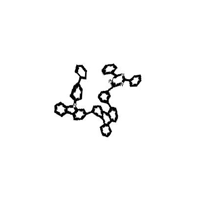 C1=CCC(c2ccc(-n3c4ccccc4c4ccc(-c5ccc6c(c5)c5ccccc5c5cccc(-c7cccc(-c8nc(-c9ccccc9)nc(-c9ccccc9)n8)c7)c56)cc43)cc2)C=C1